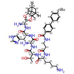 CCCCc1ccc(-c2ccc(C(=O)NCCC(=O)N[C@@H](CCCCN)C(=O)N[C@H](C(=O)N[C@@H](N)C(=O)N[C@@H](Cc3c[nH]cn3)C(=O)N[C@@H](N)B3OC4C[C@@H]5C[C@@H](C5(C)C)[C@]4(C)O3)C(C)O)cc2)cc1